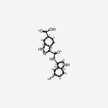 O=C(O)c1ccc2c(C(=O)Nc3c[nH]c4ccc(F)cc34)n[nH]c2c1